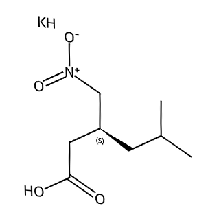 CC(C)C[C@@H](CC(=O)O)C[N+](=O)[O-].[KH]